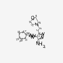 NC1=NN=C(CCN2CCOCC2)/C1=N\Nc1ccccc1